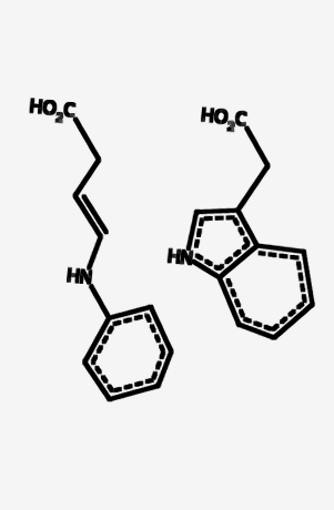 O=C(O)CC=CNc1ccccc1.O=C(O)Cc1c[nH]c2ccccc12